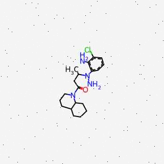 CC(CC(=O)N1CCCC2CCCCC21)N(N)c1cccc(Cl)c1N